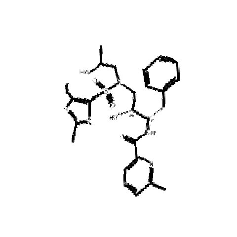 Cc1cccc(C(=O)N[C@@H](Cc2ccccc2)[C@H](O)CN(CC(C)O)S(=O)(=O)c2sc(C)nc2C)n1